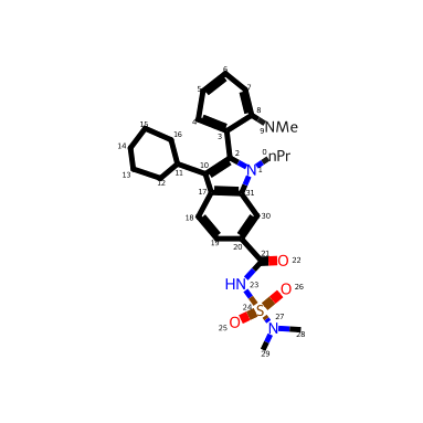 CCCn1c(-c2ccccc2NC)c(C2CCCCC2)c2ccc(C(=O)NS(=O)(=O)N(C)C)cc21